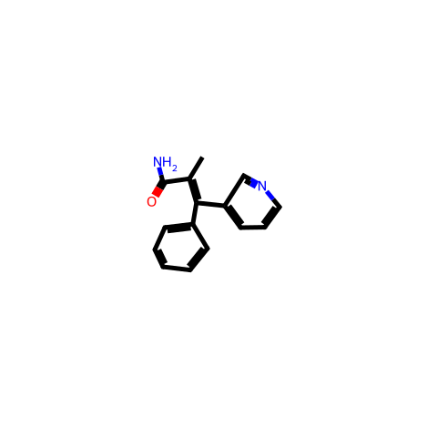 CC(C(N)=O)=C(c1ccccc1)c1cccnc1